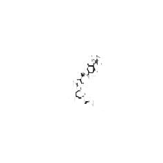 CC(C)(C)c1cc(-n2ncc(C(=O)Nc3cnc(-n4nccn4)c(Cl)c3)c2C(F)(F)F)nc(OC(N)=O)c1F